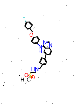 CS(=O)(=O)CCNCc1ccc(-c2ccc3ncnc(Nc4ccc(OCc5ccc(F)cc5)cc4)c3c2)cc1